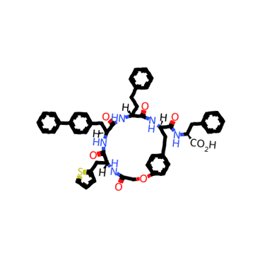 O=C1COc2ccc(cc2)C[C@H](C(=O)N[C@@H](Cc2ccccc2)C(=O)O)NC(=O)[C@@H](CCc2ccccc2)NC(=O)[C@H](Cc2ccc(-c3ccccc3)cc2)NC(=O)[C@@H](Cc2cccs2)N1